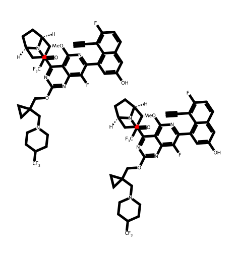 C#Cc1c(F)ccc2cc(O)cc(-c3nc(OC)c4c(N5C[C@H]6CC[C@@H](C5)N6C(=O)C(F)(F)F)nc(OCC5(CN6CCC(C(F)(F)F)CC6)CC5)nc4c3F)c12.C#Cc1c(F)ccc2cc(O)cc(-c3nc(OC)c4c(N5C[C@H]6CC[C@@H](C5)N6C(=O)C(F)(F)F)nc(OCC5(CN6CCC(C(F)(F)F)CC6)CC5)nc4c3F)c12